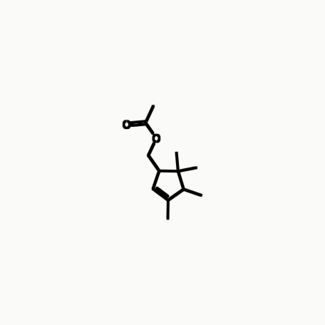 CC(=O)OCC1C=C(C)C(C)C1(C)C